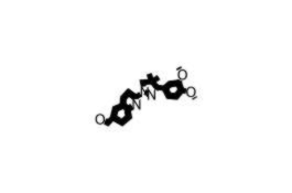 COc1ccc(C2=NN(c3ccc4cc(C=O)ccc4n3)CC2(C)C)cc1OC